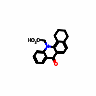 O=C(O)Cn1c2ccccc2c(=O)c2ccc3c(c21)CCCC3